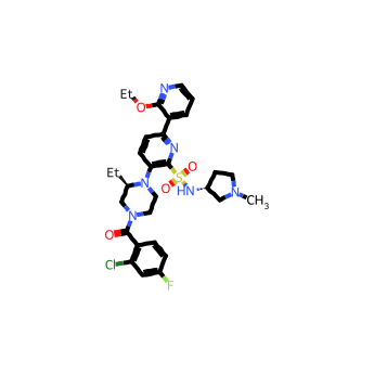 CCOc1ncccc1-c1ccc(N2CCN(C(=O)c3ccc(F)cc3Cl)C[C@H]2CC)c(S(=O)(=O)N[C@@H]2CCN(C)C2)n1